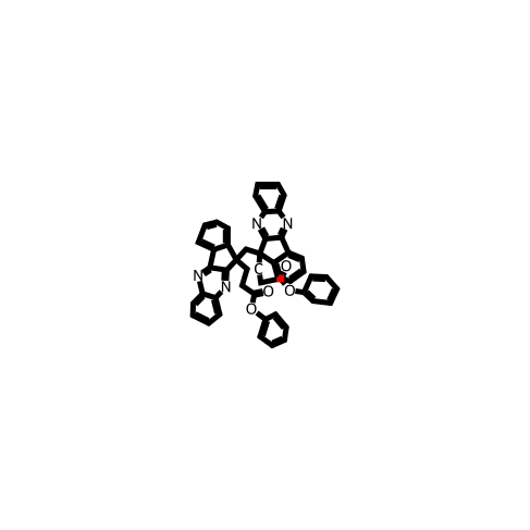 O=C(CCC1(CC2(CCC(=O)Oc3ccccc3)c3ccccc3-c3nc4ccccc4nc32)c2ccccc2-c2nc3ccccc3nc21)Oc1ccccc1